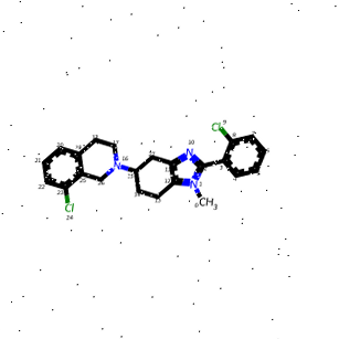 Cn1c(-c2ccccc2Cl)nc2c1CCC(N1CCc3cccc(Cl)c3C1)C2